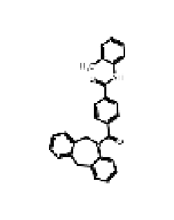 Cc1ccccc1NC(=O)c1ccc(C(=O)N2Cc3ccccc3Cc3ccccc32)cc1